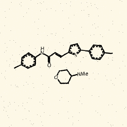 CNC1CCOCC1.Cc1ccc(NC(=O)C=Cc2ccc(-c3ccc(C)cc3)s2)cc1